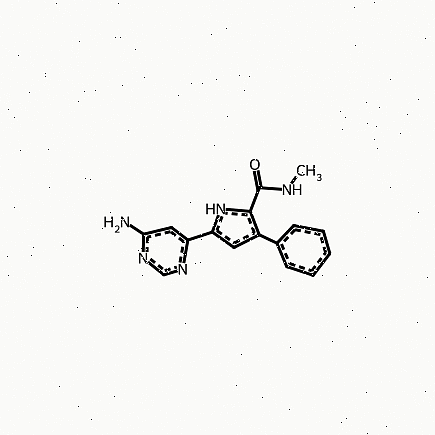 CNC(=O)c1[nH]c(-c2cc(N)ncn2)cc1-c1ccccc1